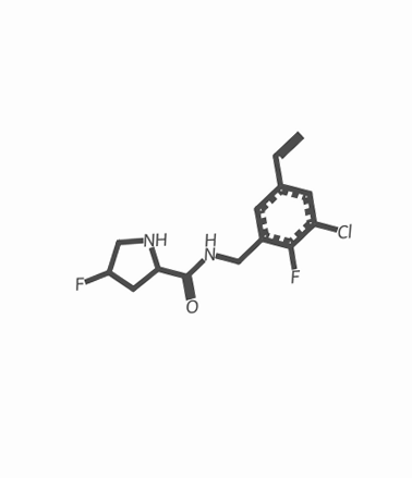 C=Cc1cc(Cl)c(F)c(CNC(=O)C2CC(F)CN2)c1